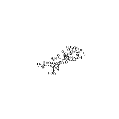 CC(C)[C@H](NC(=O)[C@@H](N)[C@@H](C)O)C(=O)N[C@@H](CC(N)=O)C(=O)N[C@@H](Cc1ccc(O)cc1)C(=O)N[C@@H](CCC(N)=O)C(=O)NCC(=O)N[C@@H](CCC(=O)O)C(=O)N[C@@H](CCCNC(=N)N)C(=O)O